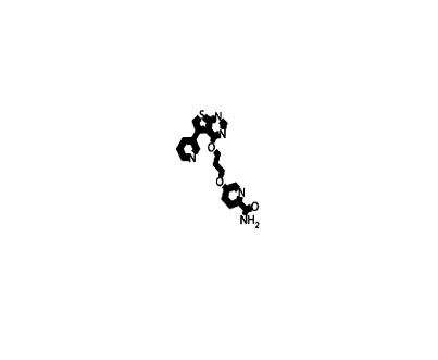 NC(=O)c1ccc(OCCCOc2ncnc3scc(-c4cccnc4)c23)cn1